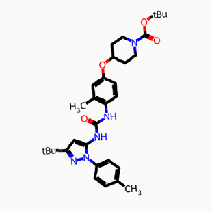 Cc1ccc(-n2nc(C(C)(C)C)cc2NC(=O)Nc2ccc(OC3CCN(C(=O)OC(C)(C)C)CC3)cc2C)cc1